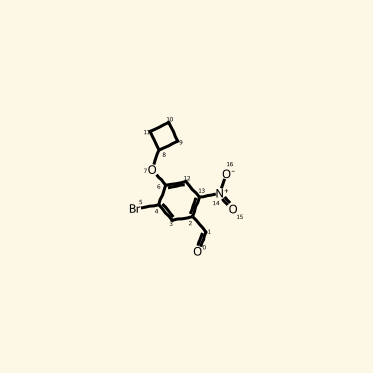 O=Cc1cc(Br)c(OC2CCC2)cc1[N+](=O)[O-]